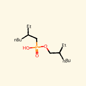 CCCCC(CC)COP(=O)(O)CC(CC)CCCC